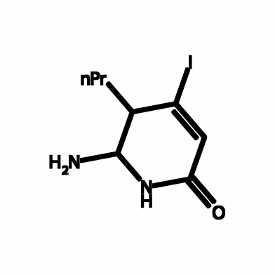 CCCC1C(I)=CC(=O)NC1N